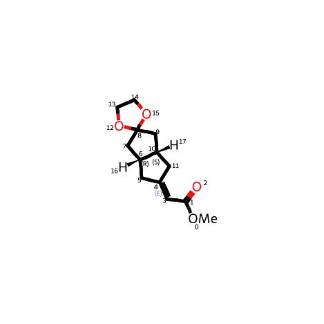 COC(=O)/C=C1/C[C@@H]2CC3(C[C@@H]2C1)OCCO3